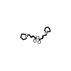 O=C(C=CCN1CCCCC1)OC(=O)C=CCN1CCCCC1